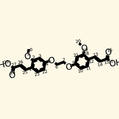 COc1cc(OCCOc2ccc(/C=C/C(=O)O)c(OC)c2)ccc1/C=C/C(=O)O